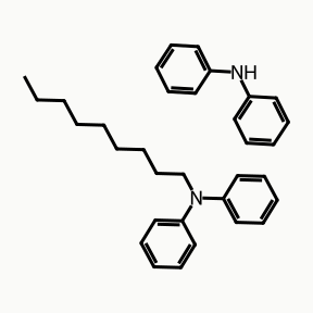 CCCCCCCCCN(c1ccccc1)c1ccccc1.c1ccc(Nc2ccccc2)cc1